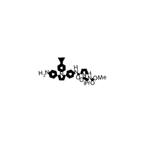 COC(=O)N[C@H](C(=O)N1CCC[C@H]1C(=O)NC1C=CC([C@H]2CC[C@H](c3ccc(N)cc3)N2c2ccc(C3CC3)cc2)=CC1)C(C)C